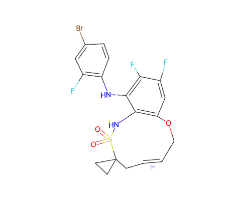 O=S1(=O)Nc2c(cc(F)c(F)c2Nc2ccc(Br)cc2F)OC/C=C/CC12CC2